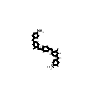 Cc1cc(Cc2ccc(N)cc2)ccc1Cc1ccc(Cc2ccc(Cc3ccc(N)cc3)cc2C)cc1